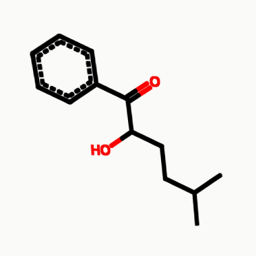 CC(C)CCC(O)C(=O)c1ccccc1